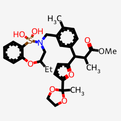 CCC1CN(Cc2cc(C(c3ccc(C4(C)OCCO4)o3)C(C)C(=O)OC)ccc2C)S(O)(O)c2ccccc2O1